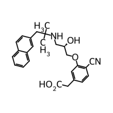 CC(C)(Cc1ccc2ccccc2c1)NC[C@@H](O)COc1cc(CC(=O)O)ccc1C#N